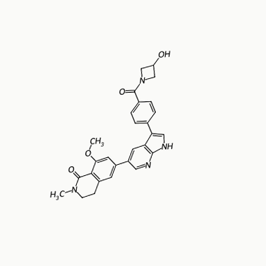 COc1cc(-c2cnc3[nH]cc(-c4ccc(C(=O)N5CC(O)C5)cc4)c3c2)cc2c1C(=O)N(C)CC2